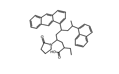 CCC(CC(CC(CC(C)c1cccc2ccccc12)c1cccc2cc3ccccc3cc12)N1CCCC1=O)C(=O)O